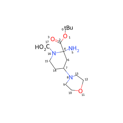 CC(C)(C)OC(=O)C1(N)CC(N2CCOCC2)CCN1C(=O)O